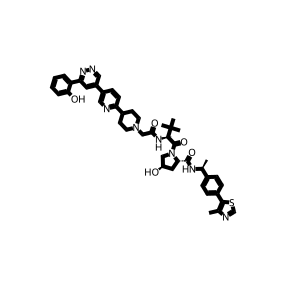 Cc1ncsc1-c1ccc([C@H](C)NC(=O)[C@@H]2C[C@@H](O)CN2C(=O)[C@@H](NC(=O)CN2CCC(c3ccc(-c4cnnc(-c5ccccc5O)c4)cn3)CC2)C(C)(C)C)cc1